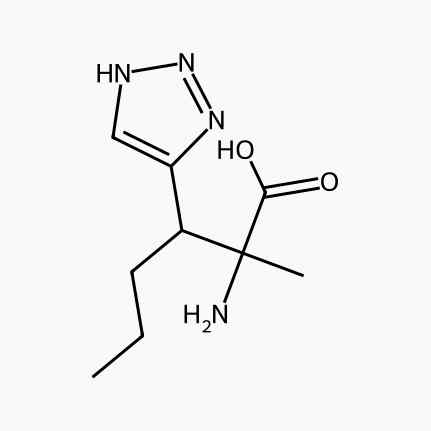 CCCC(c1c[nH]nn1)C(C)(N)C(=O)O